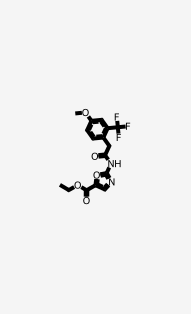 CCOC(=O)c1cnc(NC(=O)Cc2ccc(OC)cc2C(F)(F)F)o1